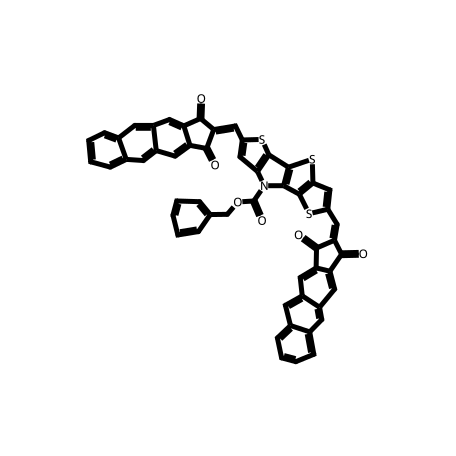 O=C1C(=Cc2cc3c(s2)c2sc4cc(C=C5C(=O)c6cc7cc8ccccc8cc7cc6C5=O)sc4c2n3C(=O)OCc2ccccc2)C(=O)c2cc3cc4ccccc4cc3cc21